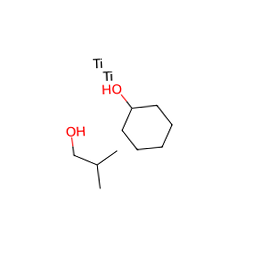 CC(C)CO.OC1CCCCC1.[Ti].[Ti]